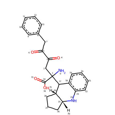 NC(CC(=O)C(=O)Cc1ccccc1)(C(=O)O)C1c2ccccc2N[C@@H]2CCC[C@H]12